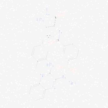 COc1ccc(Cl)c(Nc2nc3ccccc3nc2N(N)S(=O)(=O)c2cccc(C(=O)NC3CNNC3=O)c2)c1